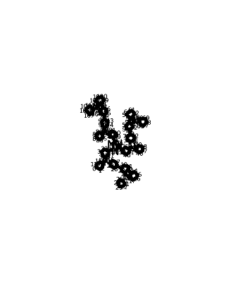 c1ccc(N(c2ccc(-c3ccc4c5ccccc5n(-c5ccccc5)c4c3)cc2)c2cccc(-c3nc(-c4cccc(N(c5ccccc5)c5ccc(-c6ccc7c8ccccc8n(-c8ccccc8)c7c6)cc5)c4)nc(-c4cccc(N(c5ccccc5)c5ccc(-c6ccc7c8ccccc8n(-c8ccccc8)c7c6)cc5)c4)n3)c2)cc1